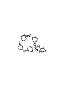 COc1ccc(CN(c2cscn2)S(=O)(=O)c2cc(C)c(N(C)[C@H]3CCN(Cc4ccccc4)C3)cc2F)cc1